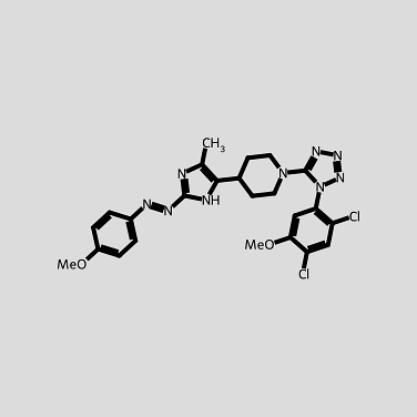 COc1ccc(N=Nc2nc(C)c(C3CCN(c4nnnn4-c4cc(OC)c(Cl)cc4Cl)CC3)[nH]2)cc1